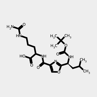 CC(C)C[C@H](NC(=O)OC(C)(C)C)c1nc(C(=O)NC(CCCNC(N)=O)C(=O)O)co1